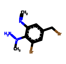 C=Nc1cc(CBr)cc(Br)c1N(C)N